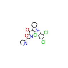 O=C(c1ncc(-c2ccccn2)o1)c1c(Cl)n(Cc2ccc(Cl)cc2Cl)c2ccccc12